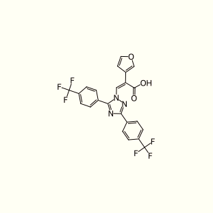 O=C(O)C(=Cn1nc(-c2ccc(C(F)(F)F)cc2)nc1-c1ccc(C(F)(F)F)cc1)c1ccoc1